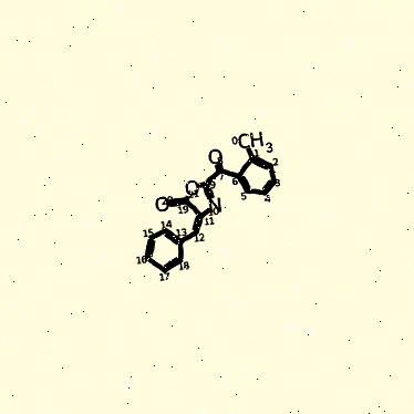 Cc1ccccc1C(=O)C1=NC(=Cc2ccccc2)C(=O)O1